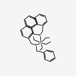 C[CH2][Ti]([CH2]C)([CH2]C)([CH2]C)([P](Cc1ccccc1)Cc1ccccc1)[P](Cc1ccccc1)Cc1ccccc1